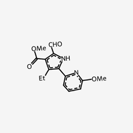 CCc1c(-c2cccc(OC)n2)[nH]c(C=O)c1C(=O)OC